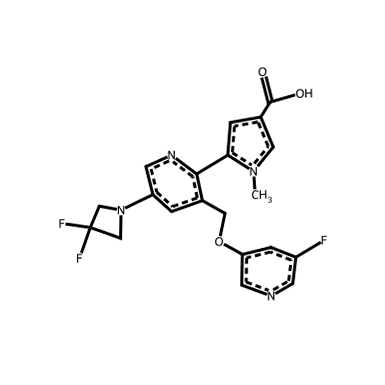 Cn1cc(C(=O)O)cc1-c1ncc(N2CC(F)(F)C2)cc1COc1cncc(F)c1